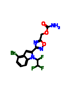 NC(=O)OCc1nc(-c2cc3c(Br)cccc3n2C(F)C(F)F)no1